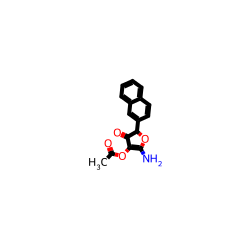 CC(=O)OC1=C(N)OC(c2ccc3ccccc3c2)C1=O